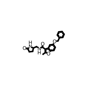 Cc1oc2ccc(OCc3ccccc3)cc2c1C(=O)NCC1CCC(=O)N1